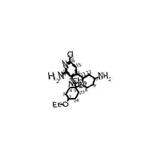 CCOC1CCC(C)(N2CCC(N)CC2c2cc(Cl)nc(N)c2N)CC1